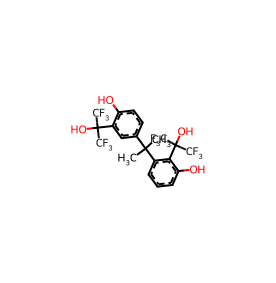 CC(C)(c1ccc(O)c(C(O)(C(F)(F)F)C(F)(F)F)c1)c1cccc(O)c1C(O)(C(F)(F)F)C(F)(F)F